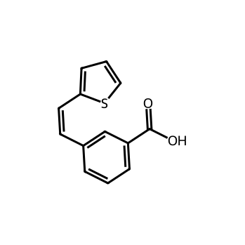 O=C(O)c1cccc(/C=C\c2cccs2)c1